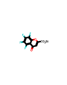 CCOC(=O)c1cc(=O)c2c(F)c(F)c(F)c(F)c2o1